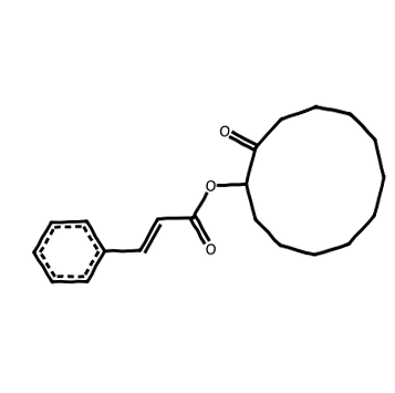 O=C(C=Cc1ccccc1)OC1CCCCCCCCCCC1=O